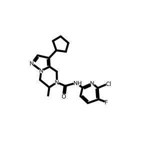 CC1Cn2ncc(C3CCCC3)c2CN1C(=O)Nc1ccc(F)c(Cl)n1